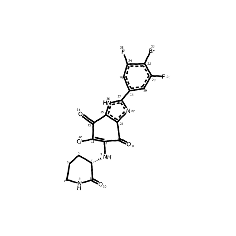 O=C1C(N[C@H]2CCCNC2=O)=C(Cl)C(=O)c2[nH]c(-c3cc(F)c(Br)c(F)c3)nc21